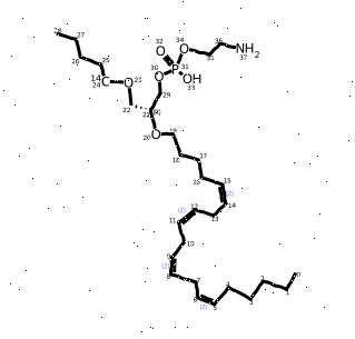 CCCCC/C=C\C/C=C\C/C=C\C/C=C\CCCCO[C@H](CO[14CH2]CCCC)COP(=O)(O)OCCN